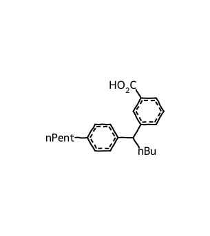 CCCCCc1ccc(C(CCCC)c2cccc(C(=O)O)c2)cc1